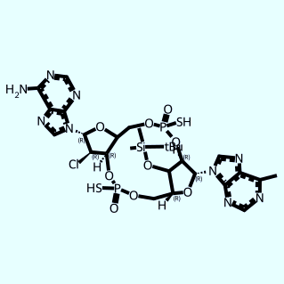 Cc1ncnc2c1ncn2[C@@H]1O[C@@H]2COP(=O)(S)O[C@@H]3C(COP(=O)(S)O[C@@H]1C2O[Si](C)(C)C(C)(C)C)O[C@@H](n1cnc2c(N)ncnc21)[C@@H]3Cl